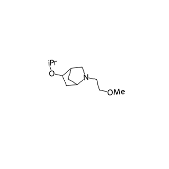 COCCN1CC2CC1CC2OC(C)C